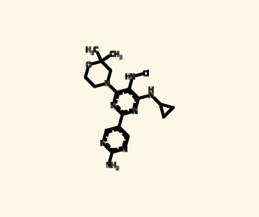 CC1(C)CN(c2nc(-c3cnc(N)nc3)nc(NC3CC3)c2NCl)CCO1